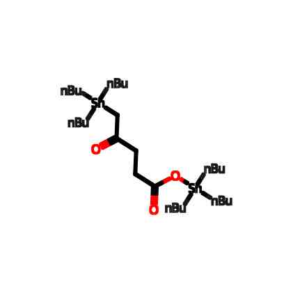 CCC[CH2][Sn]([CH2]CCC)([CH2]CCC)[CH2]C(=O)CCC(=O)[O][Sn]([CH2]CCC)([CH2]CCC)[CH2]CCC